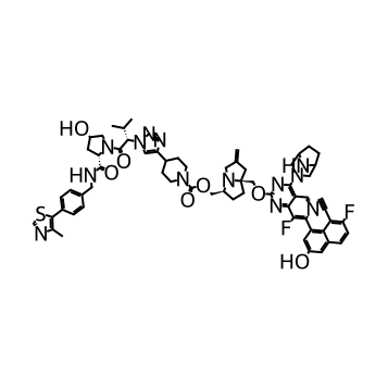 C#Cc1c(F)ccc2cc(O)cc(-c3ncc4c(N5CC6CCC(C5)N6)nc(OC[C@@]56CC[C@@H](COC(=O)N7CCC(c8cn([C@H](C(=O)N9C[C@H](O)C[C@H]9C(=O)NCc9ccc(-c%10scnc%10C)cc9)C(C)C)nn8)CC7)N5CC(=C)C6)nc4c3F)c12